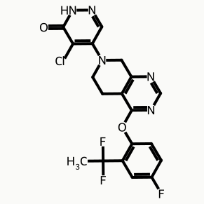 CC(F)(F)c1cc(F)ccc1Oc1ncnc2c1CCN(c1cn[nH]c(=O)c1Cl)C2